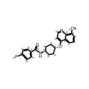 N#Cc1cccc2c(O[C@H]3CC[C@H](NC(=O)c4ccc(F)cc4)CC3)ccnc12